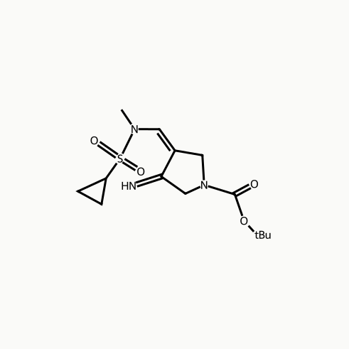 CN(/C=C1/CN(C(=O)OC(C)(C)C)CC1=N)S(=O)(=O)C1CC1